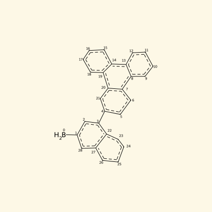 Bc1cc(-c2ccc3c4ccccc4c4ccccc4c3c2)c2ccccc2c1